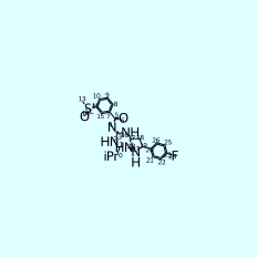 CC(C)CN/C(=N/C(=O)c1cccc([S+](C)[O-])c1)NC1CC(c2ccc(F)cc2)NN1